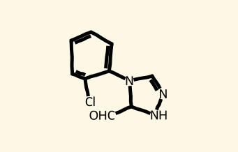 O=CC1NN=CN1c1ccccc1Cl